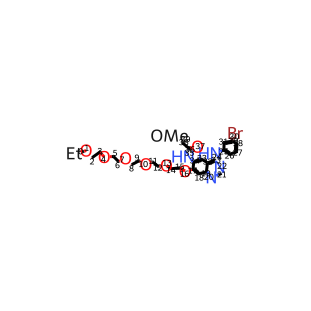 CCOCCOCCOCCOCCOCCOc1cc2ncnc(Nc3cccc(Br)c3)c2cc1NC(=O)COC